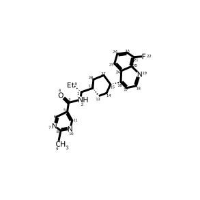 CC[C@@H](NC(=O)c1cnc(C)nc1)[C@H]1CC[C@@H](c2ccnc3c(F)cccc32)CC1